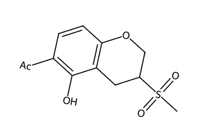 CC(=O)c1ccc2c(c1O)CC(S(C)(=O)=O)CO2